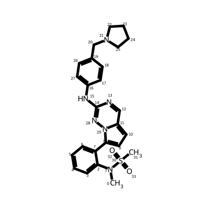 CN(c1ccccc1-c1ccc2cnc(Nc3ccc(CN4CCCC4)cc3)nn12)S(C)(=O)=O